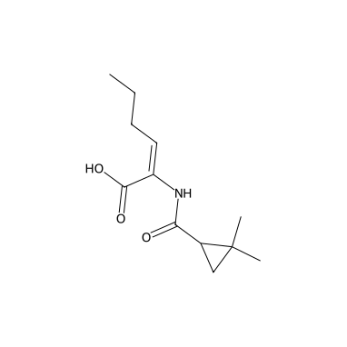 CCC/C=C(/NC(=O)C1CC1(C)C)C(=O)O